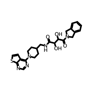 O=C(NCC1CCN(c2ncnc3sccc23)CC1)C(O)C(O)C(=O)N1Cc2ccccc2C1